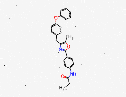 CCC(=O)Nc1ccc(-c2nc(Cc3ccc(Oc4ccccc4)cc3)c(C)o2)cc1